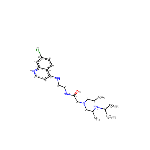 CCOC(=O)C(NC(C)CN(CCOC(C)=O)CC(=O)NCCNc1ccnc2cc(Cl)ccc12)C(=O)OCC